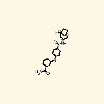 NC(=O)c1cccc(Sc2ccc(C(=O)N[C@@H]3C[C@@H]4CCN(C4)C3)cc2)c1